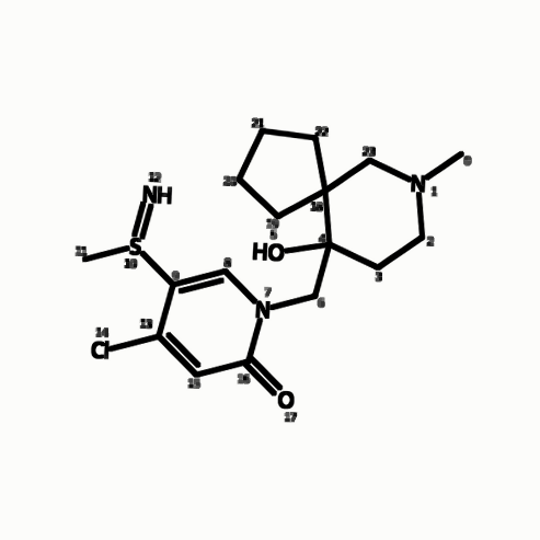 CN1CCC(O)(Cn2cc(S(C)=N)c(Cl)cc2=O)C2(CCCC2)C1